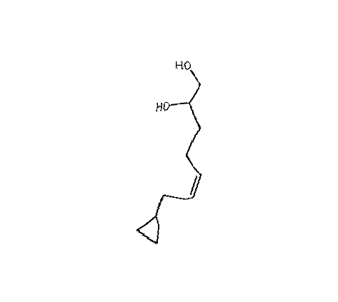 OCC(O)CC/C=C\CC1CC1